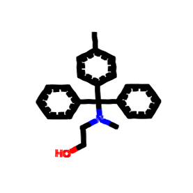 Cc1ccc(C(c2ccccc2)(c2ccccc2)N(C)CCO)cc1